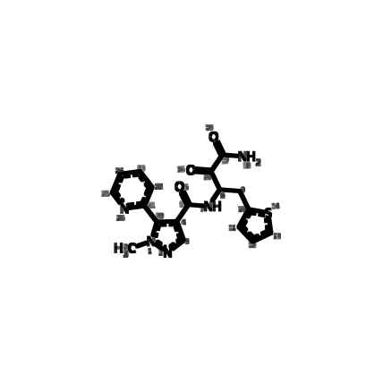 Cn1ncc(C(=O)NC(Cc2cccs2)C(=O)C(N)=O)c1-c1ccccn1